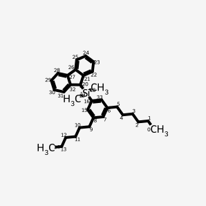 CCCCCCc1cc(CCCCCC)cc([Si](C)(C)[C]2c3ccccc3-c3ccccc32)c1